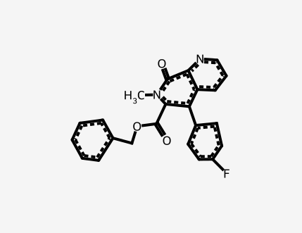 Cn1c(C(=O)OCc2ccccc2)c(-c2ccc(F)cc2)c2cccnc2c1=O